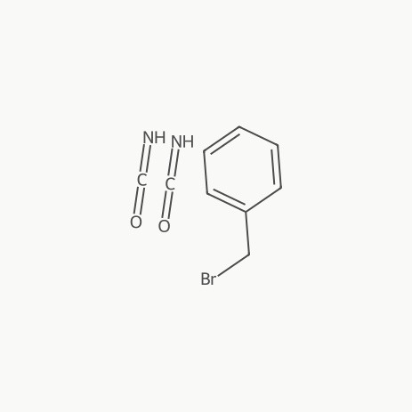 BrCc1ccccc1.N=C=O.N=C=O